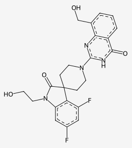 O=C1N(CCO)c2cc(F)cc(F)c2C12CCN(c1nc3c(CO)cccc3c(=O)[nH]1)CC2